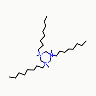 CCCCCCCC[N+]1(C)C[N+](C)(CCCCCCCC)C[N+](C)(CCCCCCCC)C1